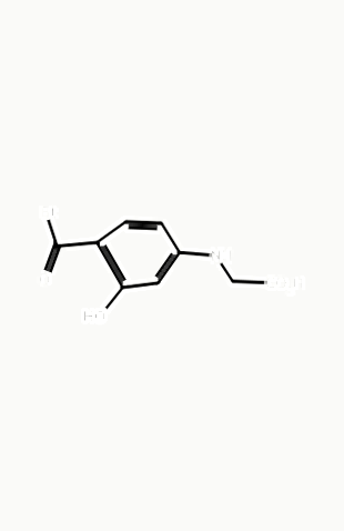 CCC(=O)c1ccc(NCC(=O)O)cc1O